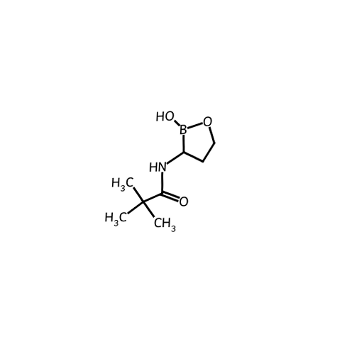 CC(C)(C)C(=O)NC1CCOB1O